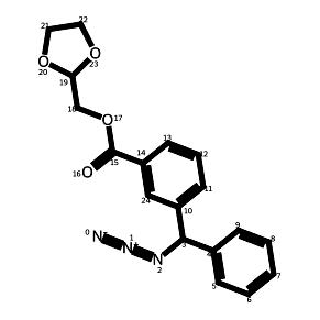 [N-]=[N+]=NC(c1ccccc1)c1cccc(C(=O)OCC2OCCO2)c1